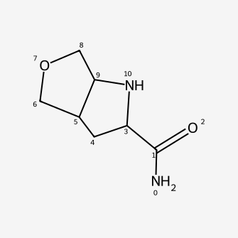 NC(=O)C1CC2COCC2N1